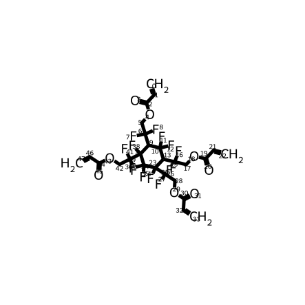 C=CC(=O)OCC(F)(F)C1C(F)(F)C(C(F)(F)COC(=O)C=C)C(F)(C(F)(F)COC(=O)C=C)C(F)(F)C1(F)C(F)(F)COC(=O)C=C